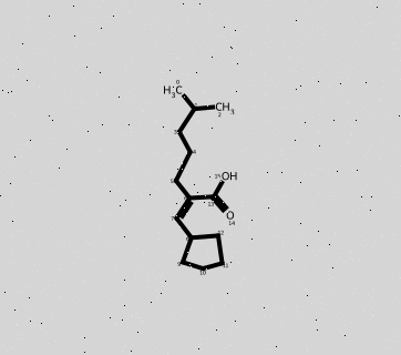 CC(C)CCCC(=CC1CCCC1)C(=O)O